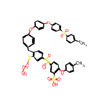 Cc1ccc(Oc2ccc(S(=O)(=O)c3ccc(Cc4ccc(Oc5ccc(Oc6ccc(S(=O)(=O)c7ccc(C)cc7)cc6)cc5)cc4)c(SOOO)c3)cc2S(=O)(=O)O)cc1